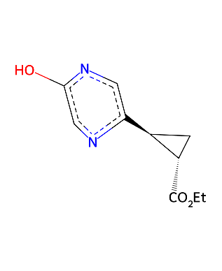 CCOC(=O)[C@H]1C[C@@H]1c1cnc(O)cn1